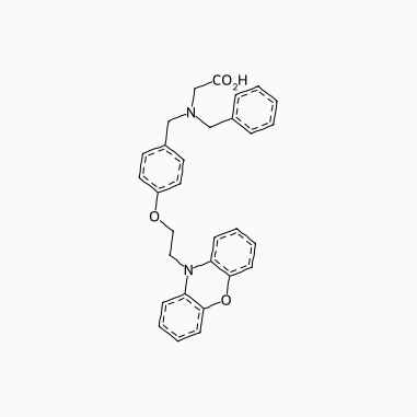 O=C(O)CN(Cc1ccccc1)Cc1ccc(OCCN2c3ccccc3Oc3ccccc32)cc1